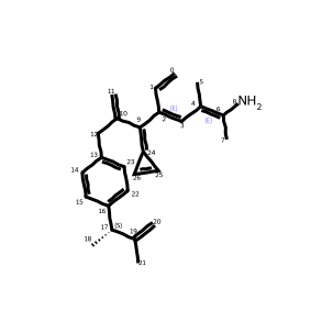 C=C/C(=C\C(C)=C(/C)N)C(C(=C)Cc1ccc([C@@H](C)C(=C)C)cc1)=C1C=C1